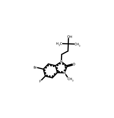 Cn1c(=O)n(CCC(C)(C)O)c2cc(Br)c(F)cc21